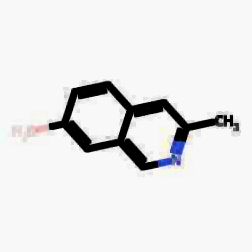 Bc1ccc2cc(C)ncc2c1